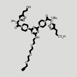 C#CCOCCOCCOCCNc1nc(N2CCN(C(=O)[C@H](C(C)C)n3cc(CCO)nn3)CC2)nc(N2CCN(C(=O)[C@H]([C@@H](C)CC)n3cc(CCC(=O)O)nn3)CC2)n1